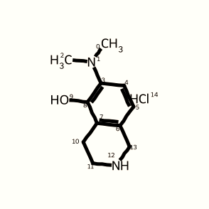 CN(C)c1ccc2c(c1O)CCNC2.Cl